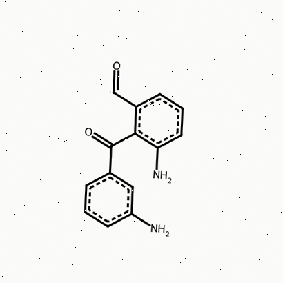 Nc1cccc(C(=O)c2c(N)cccc2[C]=O)c1